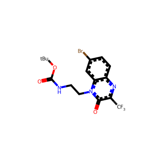 CC(C)(C)OC(=O)NCCn1c(=O)c(C(F)(F)F)nc2ccc(Br)cc21